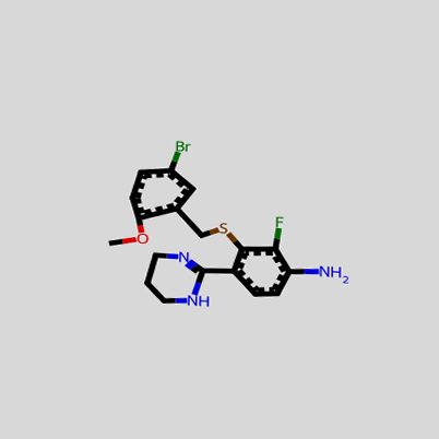 COc1ccc(Br)cc1CSc1c(C2=NCCCN2)ccc(N)c1F